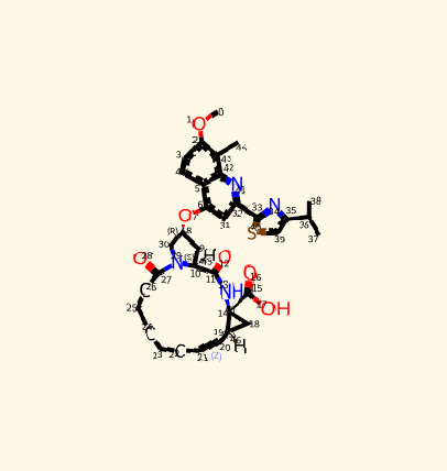 COc1ccc2c(O[C@@H]3C[C@H]4C(=O)N[C@]5(C(=O)O)C[C@H]5/C=C\CCCCCC(=O)N4C3)cc(-c3nc(C(C)C)cs3)nc2c1C